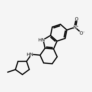 CC1CCC(NC2CCCc3c2[nH]c2ccc([N+](=O)[O-])cc32)C1